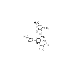 Cc1cc(C)c(CNC(=O)c2nc(-c3cnn(C)c3)nc(N3CCOC[C@@H]3C)c2C(F)(F)F)c(=O)[nH]1